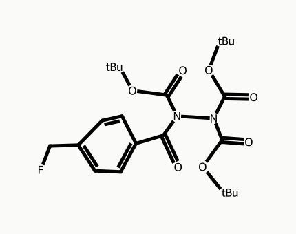 CC(C)(C)OC(=O)N(C(=O)OC(C)(C)C)N(C(=O)OC(C)(C)C)C(=O)c1ccc(CF)cc1